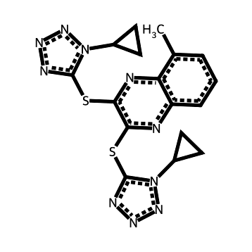 Cc1cccc2nc(Sc3nnnn3C3CC3)c(Sc3nnnn3C3CC3)nc12